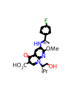 COc1nc2c(cc1N[C@H](C)c1ccc(F)cc1)c(=O)c(C(=O)O)cn2[C@H](CO)C(C)C